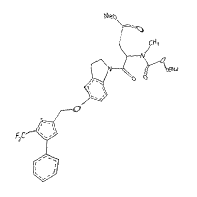 COC(=O)CC(C(=O)N1CCc2cc(OCc3cc(-c4ccccc4)c(C(F)(F)F)s3)ccc21)N(C)C(=O)OC(C)(C)C